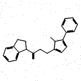 CCC1C(CCC(=O)C2CCc3ccccc32)=CC=C1c1ccccc1